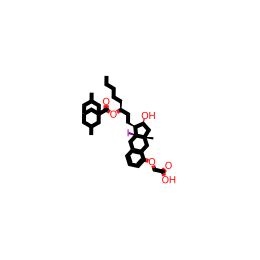 CCCCC[C@@H](CC[C@H]1[C@H](O)C[C@]2(C)Cc3c(cccc3OCC(=O)O)C[C@]12I)OC(=O)C12CC(C)CC(CC(C)C1)C2